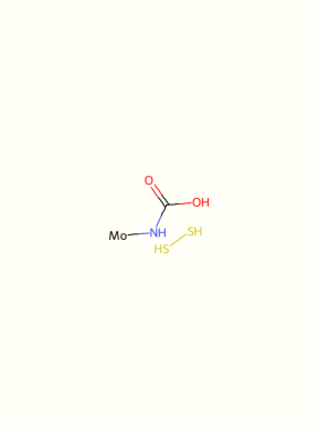 O=C(O)[NH][Mo].SS